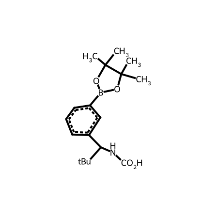 CC(C)(C)C(NC(=O)O)c1cccc(B2OC(C)(C)C(C)(C)O2)c1